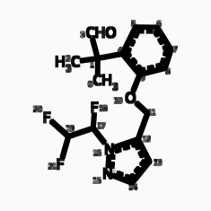 CC(C)(C=O)c1ccccc1OCc1ccnn1C(F)C(F)F